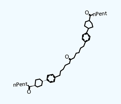 CCCCCC(=O)C1CCC(c2ccc(CCCCCC(=O)CCCCCc3ccc([C@H]4CC[C@H](C(=O)CCCCC)CC4)cc3)cc2)CC1